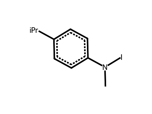 CC(C)c1ccc(N(C)I)cc1